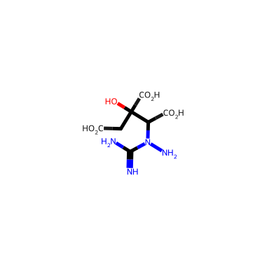 N=C(N)N(N)C(C(=O)O)C(O)(CC(=O)O)C(=O)O